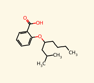 CCCCC(CC(C)C)Oc1ccccc1C(=O)O